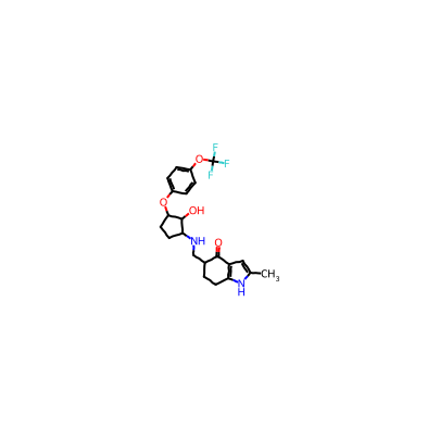 Cc1cc2c([nH]1)CCC(CNC1CCC(Oc3ccc(OC(F)(F)F)cc3)C1O)C2=O